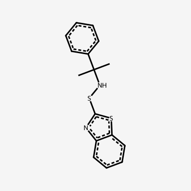 CC(C)(NSc1nc2ccccc2s1)c1ccccc1